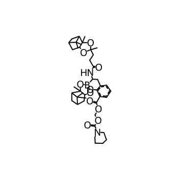 COc1c(CC(NC(=O)CCC2(C)OC3CC4CC(C4(C)C)C3(C)O2)B2OC3CC4CC(C4(C)C)C3(C)O2)cccc1C(=O)OCOC(=O)N1CCCCC1